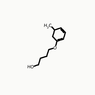 CC1C=CC=C(OCCCCO)C1